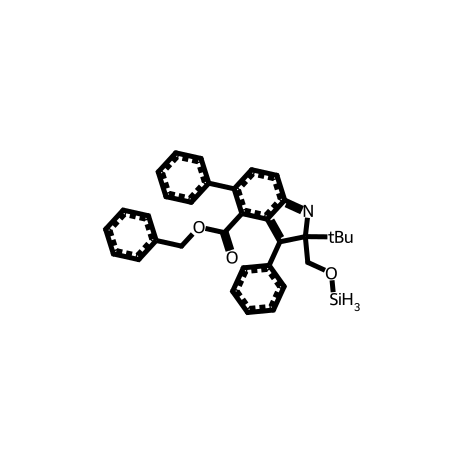 CC(C)(C)C1(CO[SiH3])N=c2ccc(-c3ccccc3)c(C(=O)OCc3ccccc3)c2=C1c1ccccc1